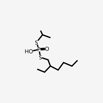 CCCCC(CC)CSP(=O)(O)SC(C)C